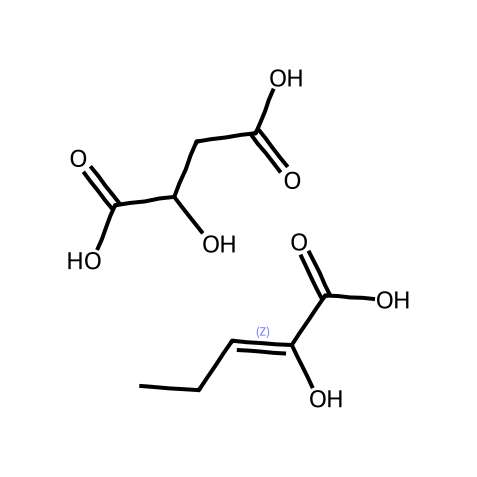 CC/C=C(\O)C(=O)O.O=C(O)CC(O)C(=O)O